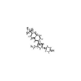 Cc1cc(N2CCNCC2)nn1-c1ccc2cc(C(F)(F)F)ccc2c1